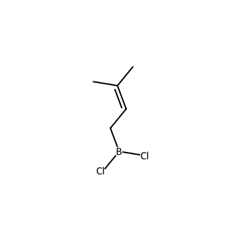 CC(C)=CCB(Cl)Cl